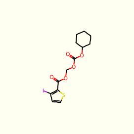 O=C(OCOC(=O)c1sccc1I)OC1CCCCC1